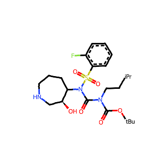 CC(C)CCN(C(=O)OC(C)(C)C)C(=O)N(C1CCCNC[C@@H]1O)S(=O)(=O)c1ccccc1F